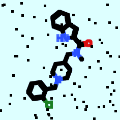 CN(CC1CCN(Cc2ccccc2Cl)CC1)C(=O)c1cc2ccccc2[nH]1